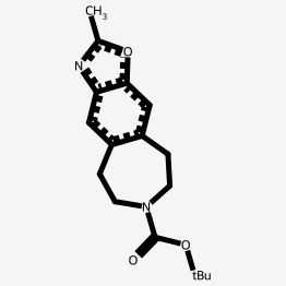 Cc1nc2cc3c(cc2o1)CCN(C(=O)OC(C)(C)C)CC3